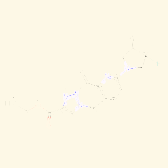 C=Cc1nc(N2CC(C)C(F)(F)C2)ccc1Cn1cc(C(=O)OCC)nn1